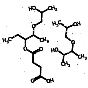 CC(O)COC(C)C(C)O.CCC(OC(=O)CCC(=O)O)C(C)OCC(C)O